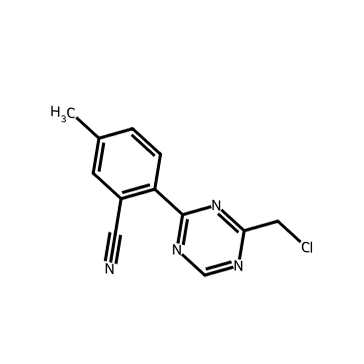 Cc1ccc(-c2ncnc(CCl)n2)c(C#N)c1